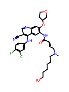 CN(C/C=C/C(=O)Nc1cc2c(Nc3ccc(F)c(Cl)c3)c(C#N)cnc2cc1OC1CCOC1)CCCCCCO